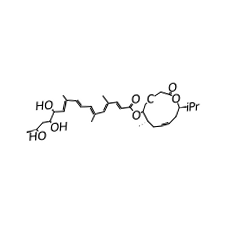 CC(=CC=CC(C)=C[C@H](O)[C@@H](O)C[C@H](C)O)C=C(C)C=CC(=O)O[C@H]1CCCC(=O)O[C@@H](C(C)C)CC=CC[C@@H]1C